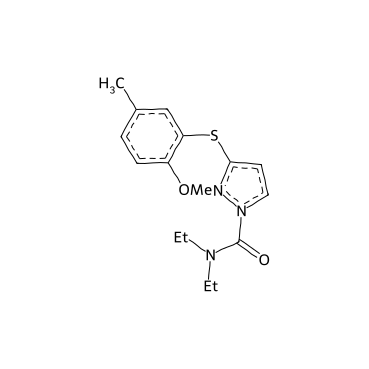 CCN(CC)C(=O)n1ccc(Sc2cc(C)ccc2OC)n1